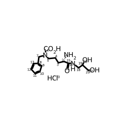 Cl.N[C@@H](CCCN(Cc1ccccc1)C(=O)O)C(=O)NCC(O)CO